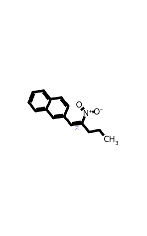 CCC/C(=C/c1ccc2ccccc2c1)[N+](=O)[O-]